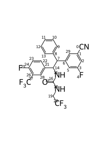 N#Cc1cc(F)cc(C(c2ccccc2)C(NC(=O)NCC(F)(F)F)c2ccc(F)c(C(F)(F)F)c2)c1